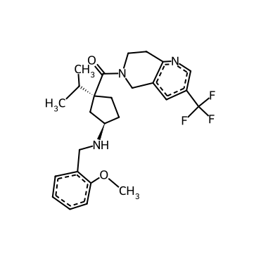 COc1ccccc1CN[C@@H]1CC[C@@](C(=O)N2CCc3ncc(C(F)(F)F)cc3C2)(C(C)C)C1